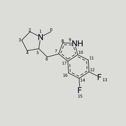 CN1CCCC1Cc1c[nH]c2cc(F)c(F)cc12